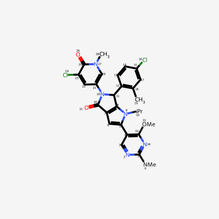 CNc1ncc(-c2cc3c(n2C(C)C)C(c2ccc(Cl)cc2C)N(c2cc(Cl)c(=O)n(C)c2)C3=O)c(OC)n1